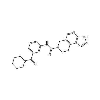 O=C(Nc1cccc(C(=O)N2CCCCC2)c1)N1CCc2c(cnc3[nH]ncc23)C1